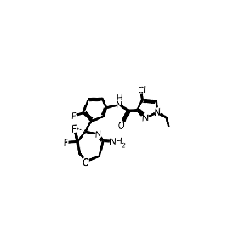 CCn1cc(Cl)c(C(=O)Nc2ccc(F)c([C@@]3(C)N=C(N)COCC3(F)F)c2)n1